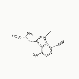 C#Cc1ccc([N+](=O)[O-])c2c(CC(N)C(=O)O)cn(C)c12